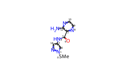 CSn1cc(NC(=O)c2nccnc2N)cn1